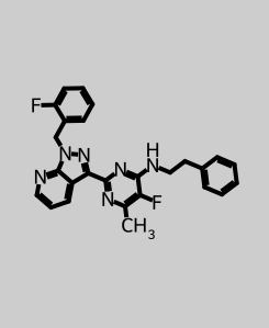 Cc1nc(-c2nn(Cc3ccccc3F)c3ncccc23)nc(NCCc2ccccc2)c1F